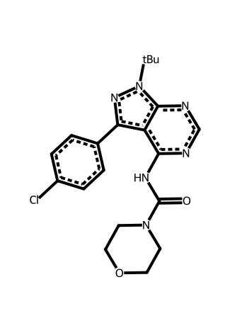 CC(C)(C)n1nc(-c2ccc(Cl)cc2)c2c(NC(=O)N3CCOCC3)ncnc21